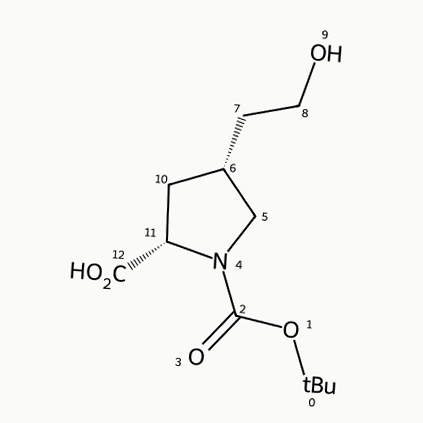 CC(C)(C)OC(=O)N1C[C@@H](CCO)C[C@H]1C(=O)O